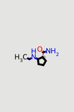 CCNC1CCC[C@H]1C(N)=O